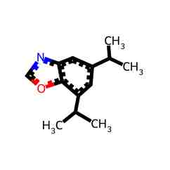 CC(C)c1cc(C(C)C)c2ocnc2c1